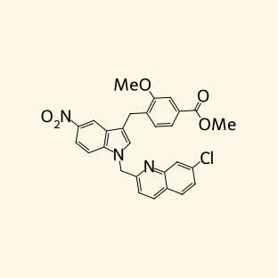 COC(=O)c1ccc(Cc2cn(Cc3ccc4ccc(Cl)cc4n3)c3ccc([N+](=O)[O-])cc23)c(OC)c1